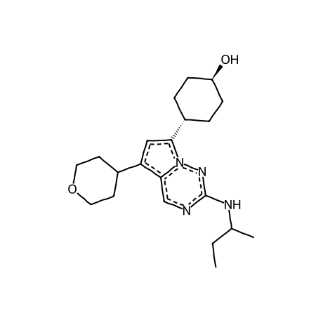 CCC(C)Nc1ncc2c(C3CCOCC3)cc([C@H]3CC[C@H](O)CC3)n2n1